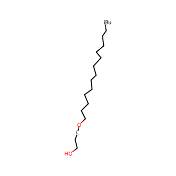 CCC(C)CCCCCCCCCCCCCOCCCO